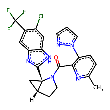 Cc1ccc(-n2cccn2)c(C(=O)N2CC[C@@H]3C[C@@]32c2nc3cc(C(F)(F)F)c(Cl)cc3[nH]2)n1